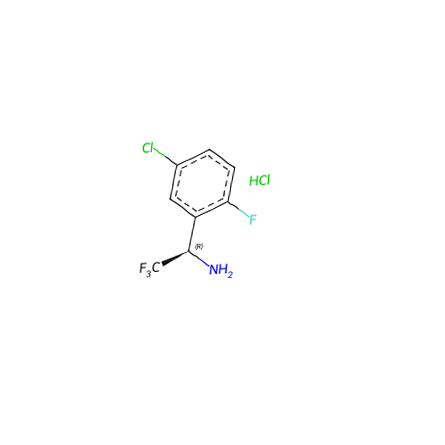 Cl.N[C@H](c1cc(Cl)ccc1F)C(F)(F)F